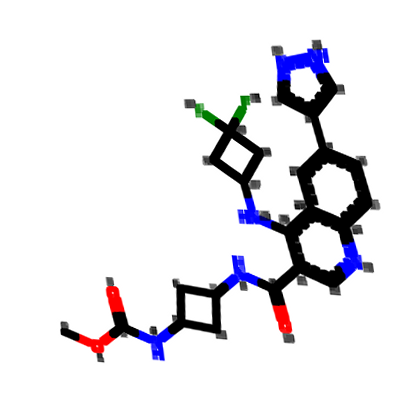 COC(=O)NC1CC(NC(=O)c2cnc3ccc(-c4cn[nH]c4)cc3c2NC2CC(F)(F)C2)C1